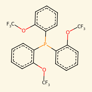 FC(F)(F)Oc1ccccc1P(c1ccccc1OC(F)(F)F)c1ccccc1OC(F)(F)F